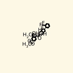 C=C(O)c1cc(S(C)(=O)=O)ccc1NC(=O)N1C[C@H]2C[C@@H](c3ccccc3C(F)(F)F)C[C@H]2C1